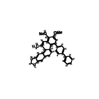 COc1cc(-c2ccc(-c3ccccc3)cc2)c2c(c[n+](C)c3c4cc5c(cc4ccc23)OCO5)c1OC